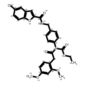 CCOC(=O)N(C(=O)Cc1ccc(OC)cc1OC)c1ccc(CNC(=O)c2cc3cc(Cl)ccc3o2)cc1